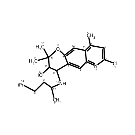 Cc1cc(Cl)nc2cc3c(cc12)OC(C)(C)C(O)C3NC(C)CCC(C)C